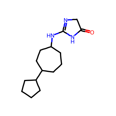 O=C1CN=C(NC2CCCC(C3CCCC3)CC2)N1